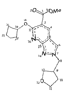 COC(=O)c1cc2cn(CC3CCOC3)nc2nc1OC1CCC1